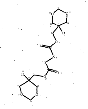 CCC1(COC(=S)SSC(=S)OCC2(CC)COCOC2)COCOC1